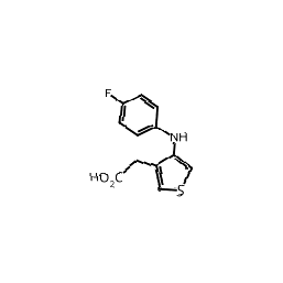 O=C(O)Cc1cscc1Nc1ccc(F)cc1